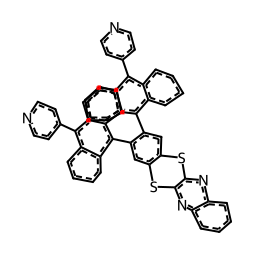 c1ccc2nc3c(nc2c1)Sc1cc(-c2c4ccccc4c(-c4ccncc4)c4ccccc24)c(-c2c4ccccc4c(-c4ccncc4)c4ccccc24)cc1S3